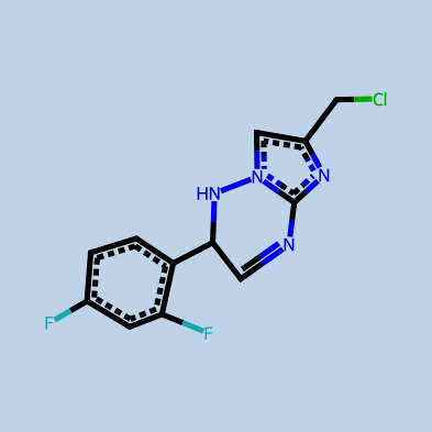 Fc1ccc(C2C=Nc3nc(CCl)cn3N2)c(F)c1